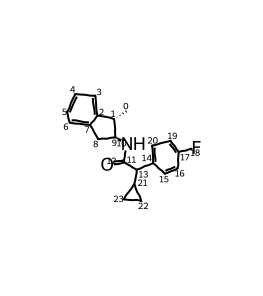 C[C@H]1c2ccccc2C[C@@H]1NC(=O)C(c1ccc(F)cc1)C1CC1